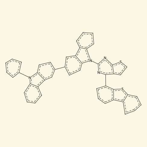 c1ccc(-n2c3ccccc3c3cc(-c4ccc5c(c4)c4ccccc4n5-c4nc(-c5cccc6c5sc5ccccc56)c5ccsc5n4)ccc32)cc1